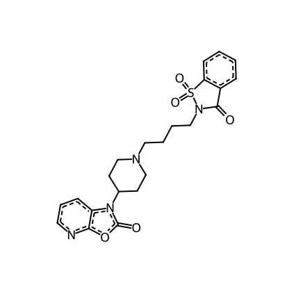 O=C1c2ccccc2S(=O)(=O)N1CCCCN1CCC(n2c(=O)oc3ncccc32)CC1